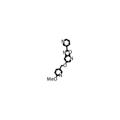 COc1ccc(COc2cnc3oc(-c4cccnc4)nc3c2)cn1